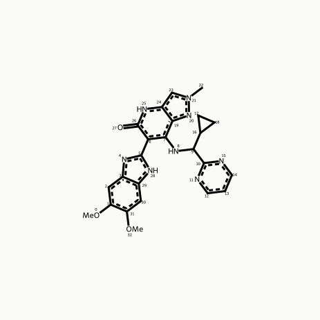 COc1cc2nc(-c3c(NC(c4ncccn4)C4CC4)c4nn(C)cc4[nH]c3=O)[nH]c2cc1OC